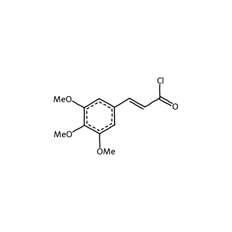 COc1cc(C=CC(=O)Cl)cc(OC)c1OC